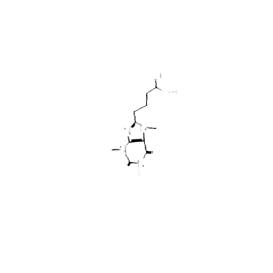 CCC(O)CCCc1nc2c(c(=O)[nH]c(=O)n2C)n1C